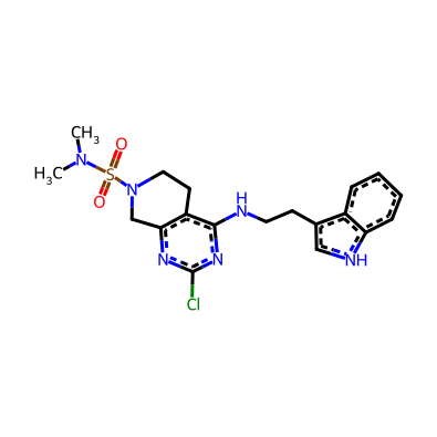 CN(C)S(=O)(=O)N1CCc2c(nc(Cl)nc2NCCc2c[nH]c3ccccc23)C1